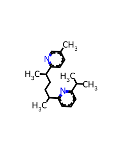 Cc1ccc(C(C)CCC(C)c2cccc(C(C)C)n2)nc1